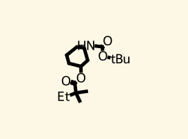 CCC(C)(C)C(=O)OC1CCCC(NC(=O)OC(C)(C)C)C1